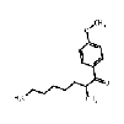 CCCCCCC(C)C(=O)c1ccc(OC)cc1